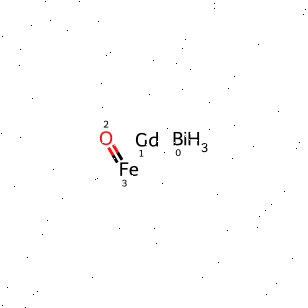 [BiH3].[Gd].[O]=[Fe]